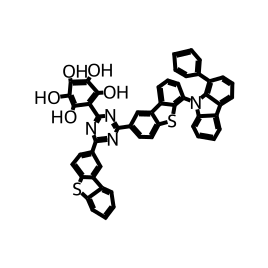 Oc1c(O)c(O)c(-c2nc(-c3ccc4sc5ccccc5c4c3)nc(-c3ccc4sc5c(-n6c7ccccc7c7cccc(-c8ccccc8)c76)cccc5c4c3)n2)c(O)c1O